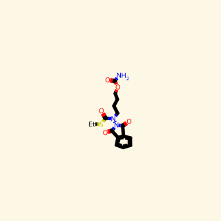 CCSC(=O)N(CCCCOC(N)=O)N1C(=O)c2ccccc2C1=O